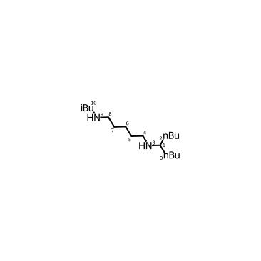 CCCCC(CCCC)NCCCCCNC(C)CC